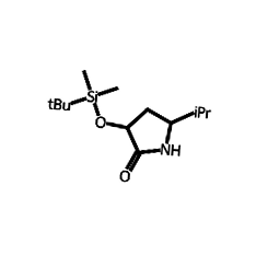 CC(C)C1CC(O[Si](C)(C)C(C)(C)C)C(=O)N1